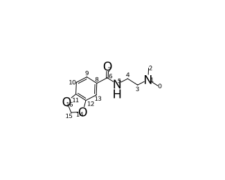 CN(C)CCNC(=O)c1ccc2c(c1)OCO2